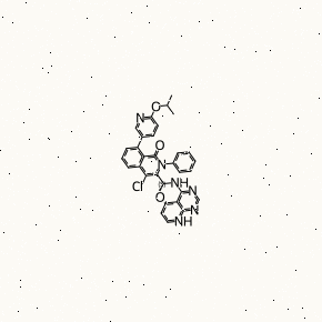 CC(C)Oc1ccc(-c2cccc3c(Cl)c([C@H](C)Nc4ncnc5[nH]ccc(=O)c45)n(-c4ccccc4)c(=O)c23)cn1